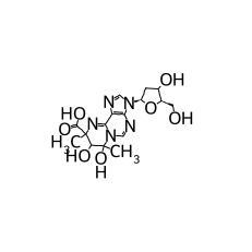 CC1(C(=O)O)N=C2c3ncn([C@H]4CC(O)[C@@H](CO)O4)c3N=CN2C(C)(O)C1O